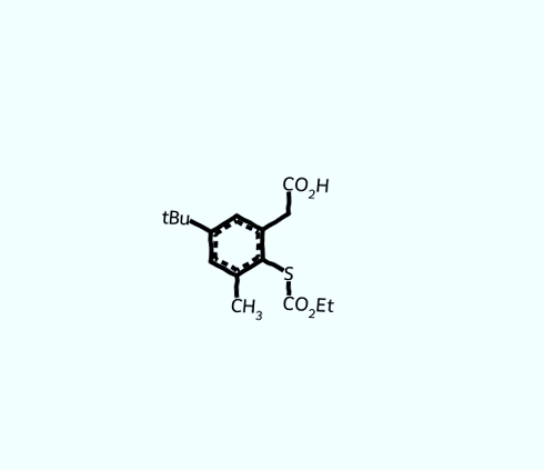 CCOC(=O)Sc1c(C)cc(C(C)(C)C)cc1CC(=O)O